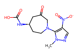 Cn1ncc([N+](=O)[O-])c1N1CC[C@@H](NC(=O)O)CC(=O)C1